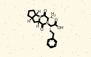 C[C@H]1C(=O)N2[C@@H](C[C@@H]3CCC[C@@H]32)C(=O)N1[C@@H](CCc1ccccc1)C(=O)O